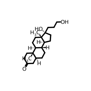 C[C@]12CCC(=O)C[C@@H]1CC[C@@H]1[C@@H]2CC[C@@]2(C)[C@H]1CC[C@]2(O)CCCO